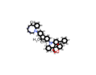 C=C1/C=C\C=C/CN(c2ccc3c(c2)C(C)(C)c2cc(N4c5ccccc5C5(c6ccccc6Oc6ccccc65)c5cc(-c6ccccc6)ccc54)ccc2-3)c2ccccc21